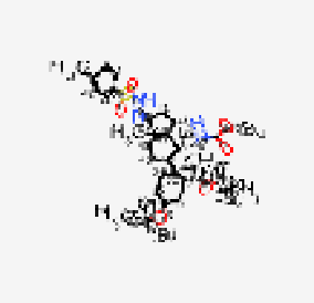 Cc1ccc(S(=O)(=O)N/N=C2\CC[C@H]3[C@H](CNC(=O)OC(C)(C)C)[C@@H]([C@@]4(C)CCC(O[Si](C)(C)C(C)(C)C)C[C@@H]4CO[Si](C)(C)C(C)(C)C)CC[C@]23C)cc1